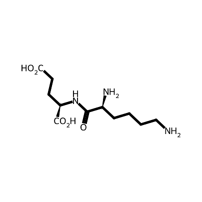 NCCCC[C@H](N)C(=O)N[C@H](CCC(=O)O)C(=O)O